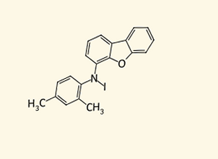 Cc1ccc(N(I)c2cccc3c2oc2ccccc23)c(C)c1